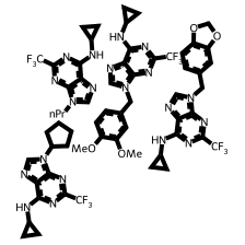 CCCn1cnc2c(NC3CC3)nc(C(F)(F)F)nc21.COc1ccc(Cn2cnc3c(NC4CC4)nc(C(F)(F)F)nc32)cc1OC.FC(F)(F)c1nc(NC2CC2)c2ncn(C3CCCC3)c2n1.FC(F)(F)c1nc(NC2CC2)c2ncn(Cc3ccc4c(c3)OCO4)c2n1